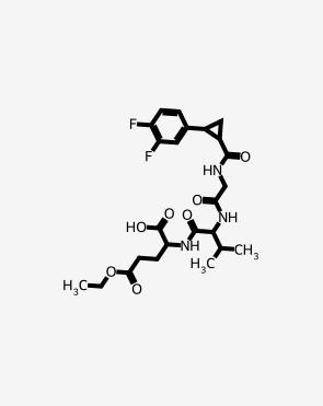 CCOC(=O)CCC(NC(=O)C(NC(=O)CNC(=O)C1CC1c1ccc(F)c(F)c1)C(C)C)C(=O)O